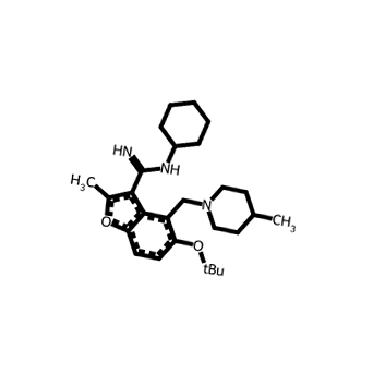 Cc1oc2ccc(OC(C)(C)C)c(CN3CCC(C)CC3)c2c1C(=N)NC1CCCCC1